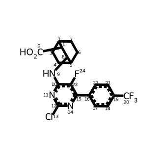 O=C(O)C1C2CCC(CC2)C1Nc1nc(Cl)nc(-c2ccc(C(F)(F)F)cc2)c1F